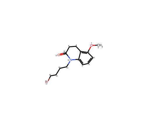 COc1cccc2c1CCC(=O)N2CCCCBr